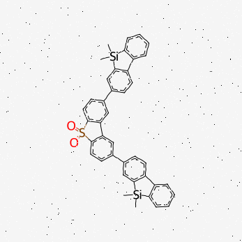 C[Si]1(C)c2ccccc2-c2ccc(-c3ccc4c(c3)-c3cc(-c5ccc6c(c5)[Si](C)(C)c5ccccc5-6)ccc3S4(=O)=O)cc21